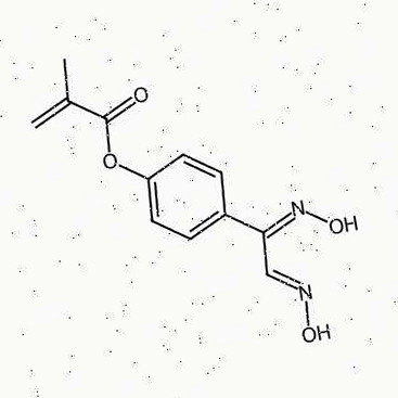 C=C(C)C(=O)Oc1ccc(C(C=NO)=NO)cc1